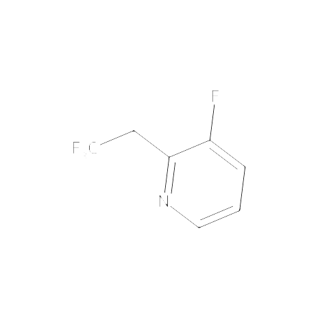 Fc1cccnc1CC(F)(F)F